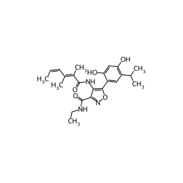 C/C=C\C(C)=C(/C)C(=O)Nc1c(C(=O)NCC)noc1-c1cc(C(C)C)c(O)cc1O